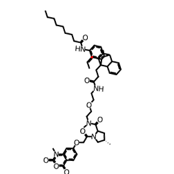 C/C=C\C1=C(C)C2c3ccc(NC(=O)CCCCCCCC)cc3C1(CCC(=O)NCCOCCN(C)C(=O)C1C[C@H](C)CN1C(=O)COc1ccc3c(=O)oc(=O)n(C)c3c1)C1C=CC=CC21